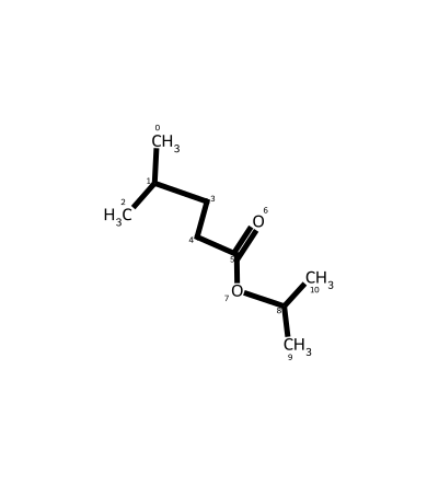 CC(C)CCC(=O)OC(C)C